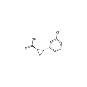 O=C(O)[C@@H]1C[C@H]1c1cccc(Cl)c1